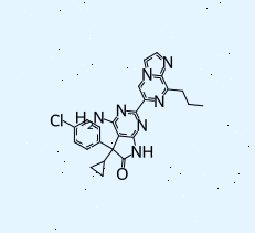 CCCc1nc(-c2nc(N)c3c(n2)NC(=O)C3(c2ccc(Cl)cc2)C2CC2)cn2ccnc12